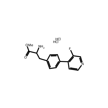 COC(=O)C(N)Cc1ccc(-c2ccncc2F)cc1.Cl.Cl